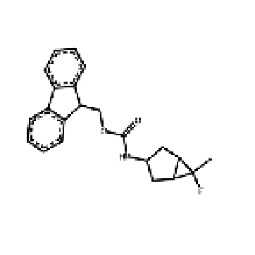 O=C(NC1CC2C(C1)C2(F)F)OCC1c2ccccc2-c2ccccc21